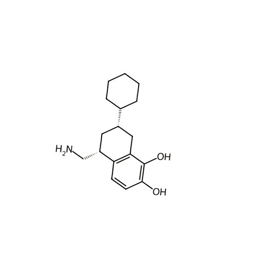 NC[C@@H]1C[C@H](C2CCCCC2)Cc2c1ccc(O)c2O